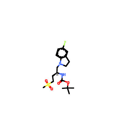 CC(C)(C)OC(=O)N[C@@H](CCS(C)(=O)=O)CN1CCc2cc(F)ccc21